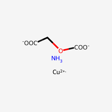 N.O=C([O-])COC(=O)[O-].[Cu+2]